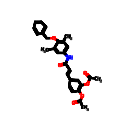 CC(=O)Oc1ccc(C=CC(=O)Nc2cc(C)c(OCc3ccccc3)c(C)c2)cc1OC(C)=O